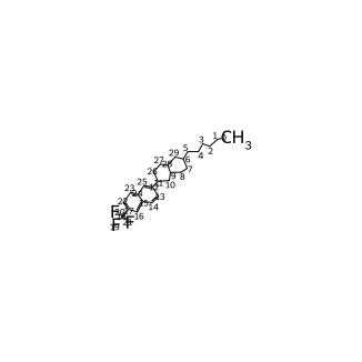 CCCCCCC1CCC2CC(c3ccc4cc(C(F)(F)F)ccc4c3)CCC2C1